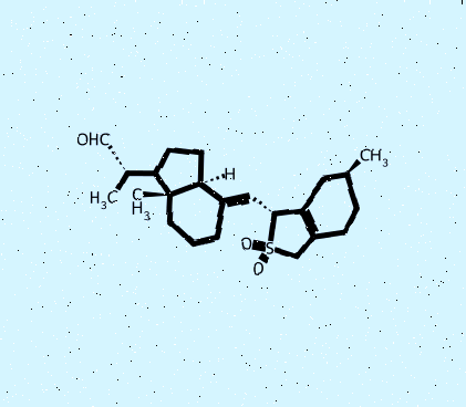 C[C@H]1CCC2=C(C1)[C@@H](/C=C1\CCC[C@]3(C)C([C@H](C)C=O)CC[C@@H]13)S(=O)(=O)C2